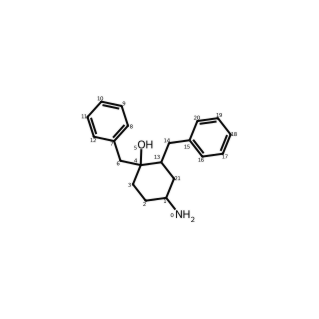 NC1CCC(O)(Cc2ccccc2)C(Cc2ccccc2)C1